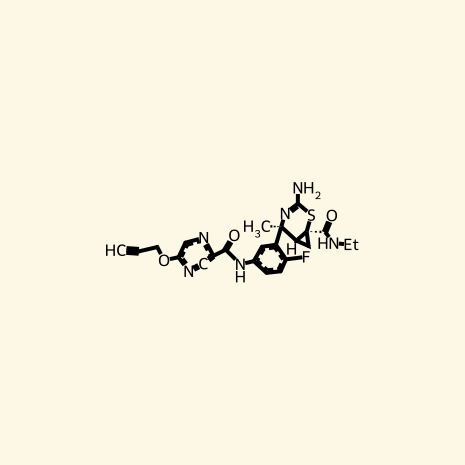 C#CCOc1cnc(C(=O)Nc2ccc(F)c([C@@]3(C)N=C(N)S[C@@]4(C(=O)NCC)C[C@H]43)c2)cn1